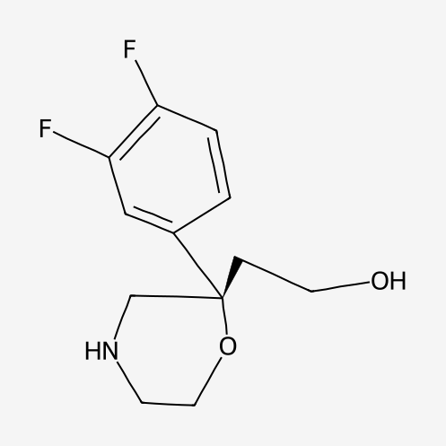 OCC[C@]1(c2ccc(F)c(F)c2)CNCCO1